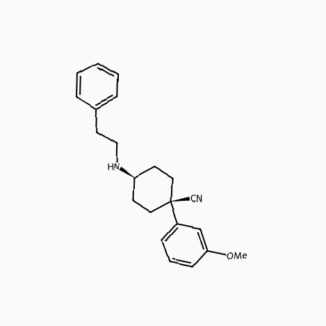 COc1cccc([C@]2(C#N)CC[C@@H](NCCc3ccccc3)CC2)c1